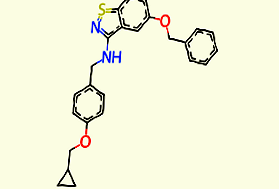 c1ccc(COc2ccc3snc(NCc4ccc(OCC5CC5)cc4)c3c2)cc1